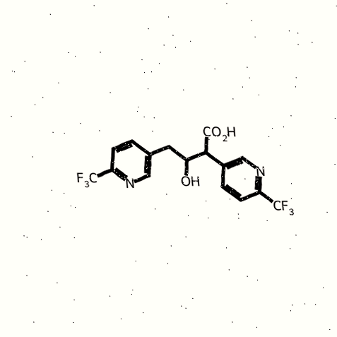 O=C(O)C(c1ccc(C(F)(F)F)nc1)C(O)Cc1ccc(C(F)(F)F)nc1